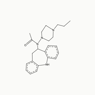 CCCN1CCN(N(C(C)=O)C2Cc3ccccc3Nc3ccccc32)CC1